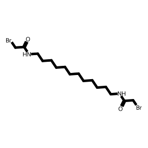 O=C(CBr)NCCCCCCCCCCCCNC(=O)CBr